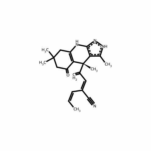 C=C(/C=C(C#N)\C=C/C)[C@]1(C)C2=C(CC(C)(C)CC2=O)Nc2n[nH]c(C)c21